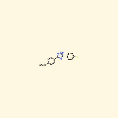 COc1ccc(-c2n[nH]c(-c3ccc(F)cc3)n2)cc1